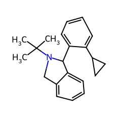 CC(C)(C)N1Cc2ccccc2C1c1ccccc1C1CC1